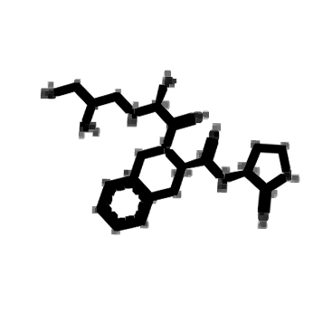 CC(C)[C@H](NCC(N)CS)C(=O)N1Cc2ccccc2C[C@@H]1C(=O)N[C@H]1CCSC1=O